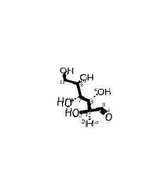 [2H][C@@](O)(C=O)[C@@H](O)[C@H](O)[C@H](O)CO